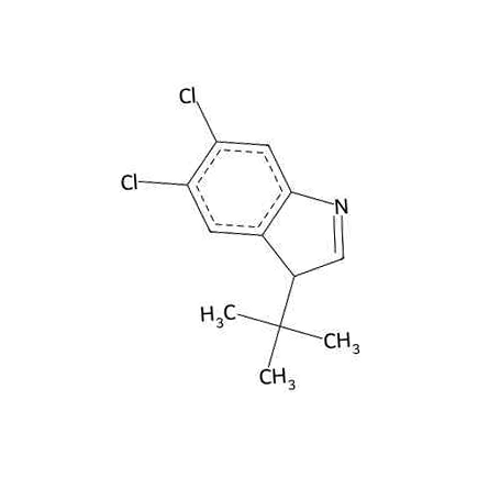 CC(C)(C)C1C=Nc2cc(Cl)c(Cl)cc21